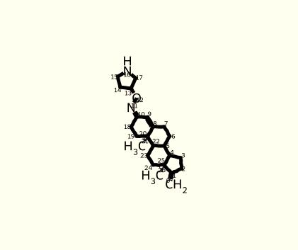 C=C1CCC2C3CCC4=CC(=NOC5CCNC5)CC[C@]4(C)C3CC[C@]12C